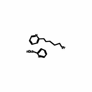 CC(C)CCCCCc1ccccn1.CCCCCCCCc1ccccn1